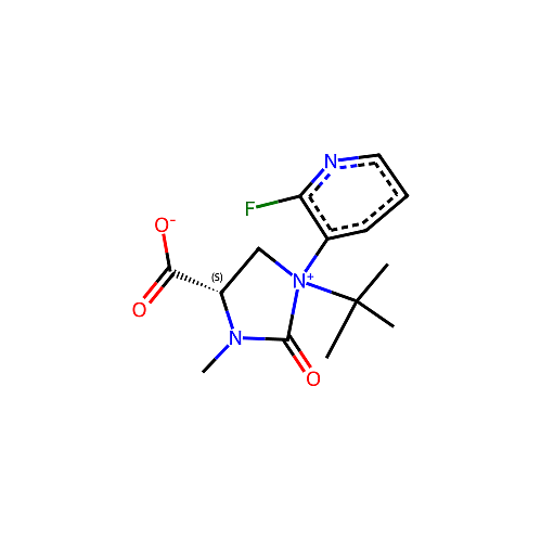 CN1C(=O)[N+](c2cccnc2F)(C(C)(C)C)C[C@H]1C(=O)[O-]